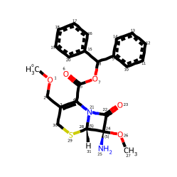 COCC1=C(C(=O)OC(c2ccccc2)c2ccccc2)N2C(=O)[C@](N)(OC)[C@@H]2SC1